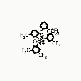 O=C(O)c1ccccc1Oc1ccc(C(F)(F)F)cc1N(S(=O)(=O)c1cc(C(F)(F)F)cc(C(F)(F)F)c1)S(=O)(=O)c1cc(C(F)(F)F)cc(C(F)(F)F)c1